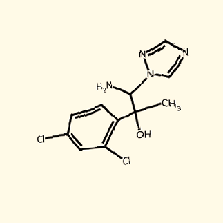 CC(O)(c1ccc(Cl)cc1Cl)C(N)n1cncn1